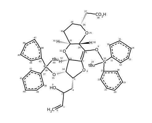 C=CC(O)C[C@H]1OC2=C(O[Si](c3ccccc3)(c3ccccc3)C(C)(C)C)[C@H]3O[C@@H](CC(=O)O)CC[C@@H]3O[C@@H]2[C@H]1O[Si](c1ccccc1)(c1ccccc1)C(C)(C)C